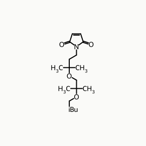 CCC(C)COC(C)(C)COC(C)(C)CCN1C(=O)C=CC1=O